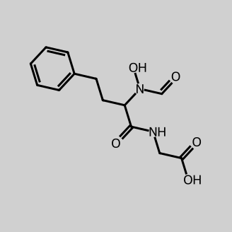 O=CN(O)C(CCc1ccccc1)C(=O)NCC(=O)O